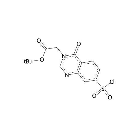 CC(C)(C)OC(=O)Cn1cnc2cc(S(=O)(=O)Cl)ccc2c1=O